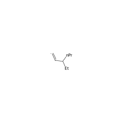 [CH]=CC(CC)CCC